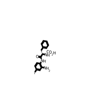 Nc1cc(I)ccc1NC(=O)[C@H](Cc1ccccc1)NC(=O)O